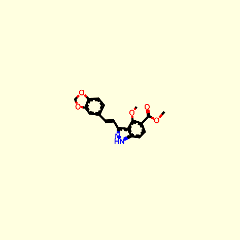 COC(=O)c1ccc2[nH]nc(C=Cc3ccc4c(c3)OCO4)c2c1OC